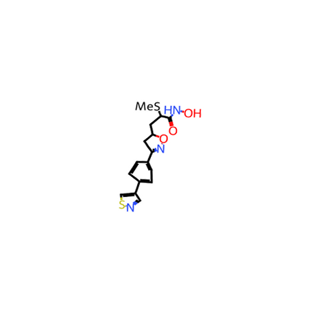 CSC(CC1CC(c2ccc(-c3cnsc3)cc2)=NO1)C(=O)NO